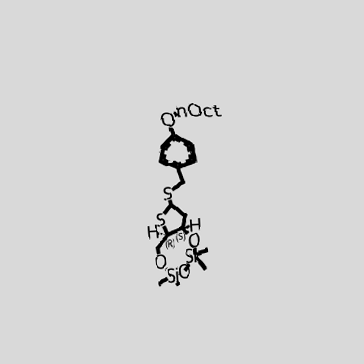 CCCCCCCCOc1ccc(CSC2C[C@@H]3O[Si](C)(C)O[Si](C)(C)OC[C@H]3S2)cc1